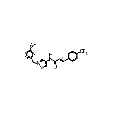 CC(=O)c1csc(Cn2cc(NC(=O)/C=C/c3ccc(C(F)(F)F)cc3)cn2)n1